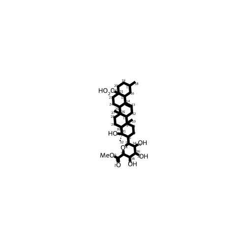 COC(=O)C1OC(C2CCC3(C)C4CC=C5C6CC(C)CCC6(C(=O)O)CCC5C4(C)CCC3[C@]2(C)O)C(O)C(O)C1O